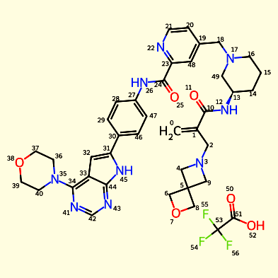 C=C(CN1CC2(COC2)C1)C(=O)N[C@@H]1CCCN(Cc2ccnc(C(=O)Nc3ccc(-c4cc5c(N6CCOCC6)ncnc5[nH]4)cc3)c2)C1.O=C(O)C(F)(F)F